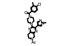 CC(=O)N1CCc2nc(N3CCN(C(=O)c4ccc(Cl)c(C)c4)CC3)c(-c3cnn(C)c3)nc2C1